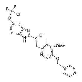 COc1c(OCc2ccccc2)cnc(C[S+]([O-])c2nc3cc(OC(F)(F)Cl)ccc3[nH]2)c1C